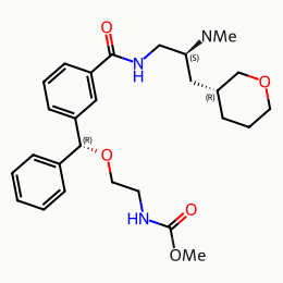 CN[C@H](CNC(=O)c1cccc([C@H](OCCNC(=O)OC)c2ccccc2)c1)C[C@H]1CCCOC1